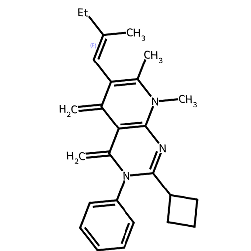 C=C1C(/C=C(\C)CC)=C(C)N(C)C2=C1C(=C)N(c1ccccc1)C(C1CCC1)=N2